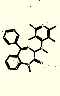 Cc1nc(C)c(C)c(N(C)C2N=C(c3ccccc3)c3ccccc3N(C)C2=O)c1C